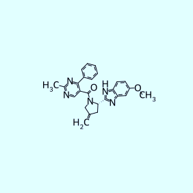 C=C1C[C@@H](c2nc3cc(OC)ccc3[nH]2)N(C(=O)c2cnc(C)nc2-c2ccccc2)C1